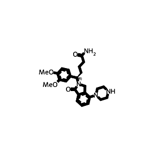 COc1ccc([C@@H](CCCC(N)=O)N2Cc3c(cccc3N3CCNCC3)C2=O)cc1OC